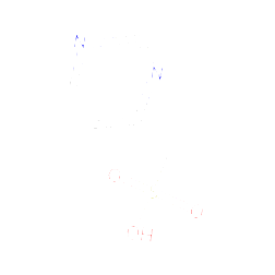 O=S(=O)(O)Cc1ccncn1